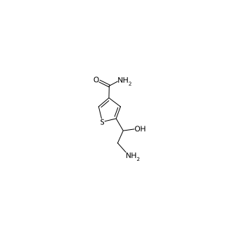 NCC(O)c1cc(C(N)=O)cs1